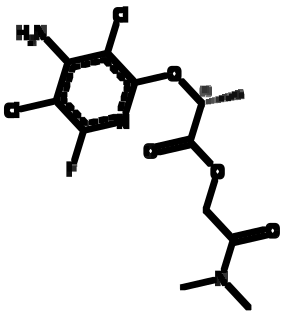 C[C@@H](Oc1nc(F)c(Cl)c(N)c1Cl)C(=O)OCC(=O)N(C)C